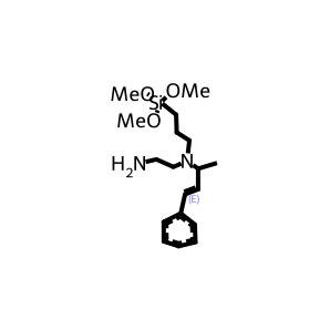 CO[Si](CCCN(CCN)C(C)/C=C/c1ccccc1)(OC)OC